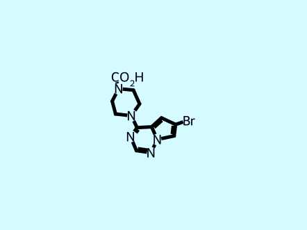 O=C(O)N1CCN(c2ncnn3cc(Br)cc23)CC1